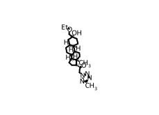 CCOC[C@@]1(O)CC[C@H]2[C@@H](CC[C@@H]3[C@@H]2CC[C@]2(C)[C@@H](C(=O)Cn4nnc(C)n4)CC[C@@H]32)C1